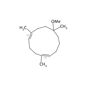 COC1(C)CCC/C=C(/C)CC/C=C(/C)CC1